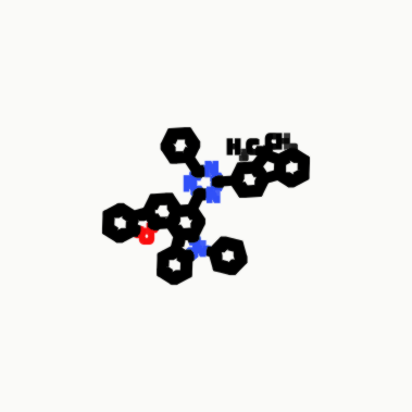 CC1(C)c2ccccc2-c2ccc(-c3nc(-c4ccccc4)nc(-c4cc5c(c6ccccc6n5-c5ccccc5)c5c4ccc4c6ccccc6oc45)n3)cc21